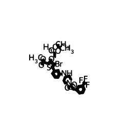 COC(=O)c1sc(-c2cccc(NC3CCN(S(=O)(=O)Cc4cccc(C(F)(F)F)c4)CC3)c2)c(Br)c1OCC(=O)OC(C)(C)C